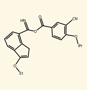 CCOC1=CCc2c(C(=N)OC(=O)c3ccc(OC(C)C)c(C#N)c3)cccc21